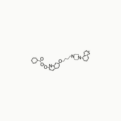 O=C(OCOc1ccc2ccc(OCCCCN3CCN(c4cccc5sccc45)CC3)cc2n1)c1ccccc1